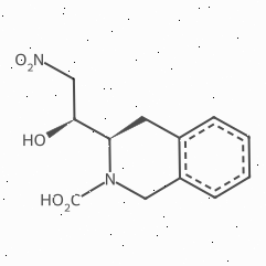 O=C(O)N1Cc2ccccc2C[C@@H]1[C@@H](O)C[N+](=O)[O-]